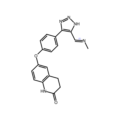 C/N=C/c1[nH]nnc1-c1ccc(Oc2ccc3c(c2)CCC(=O)N3)cc1